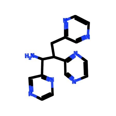 NC(c1cnccn1)C(Cc1cnccn1)c1cnccn1